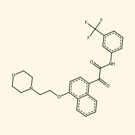 O=C(Nc1cccc(C(F)(F)F)c1)C(=O)c1ccc(OCCN2CCOCC2)c2ccccc12